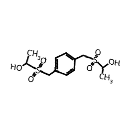 CC(O)S(=O)(=O)Cc1ccc(CS(=O)(=O)C(C)O)cc1